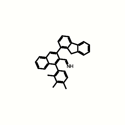 Cc1ccc(-c2c(C=N)c(-c3cccc4c3Cc3ccccc3-4)cc3ccccc23)c(C)c1C